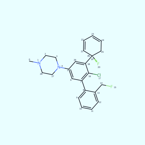 CN1CCN(c2cc(-c3ccccc3CF)c(Cl)c([C@]3(F)C=CC=CC3)c2)CC1